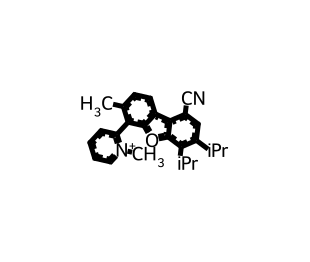 Cc1ccc2c(oc3c(C(C)C)c(C(C)C)cc(C#N)c32)c1-c1cccc[n+]1C